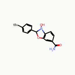 CC(C)(C)c1ccc(C2Oc3cc(C(N)=O)ccc3N2O)cc1